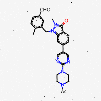 CC(=O)N1CCN(c2ncc(-c3ccc4c(=O)n(C)n(Cc5cc(C=O)ccc5C)c4c3)cn2)CC1